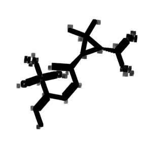 C=C(/C=C\C(=C/C)S(N)(=O)=O)[C@@H]1[C@@H](C(=N)N)C1(C)C